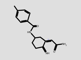 Cc1ccc(C(=O)NC2CCC(=N)/C(=C\C(N)=O)C2)cc1